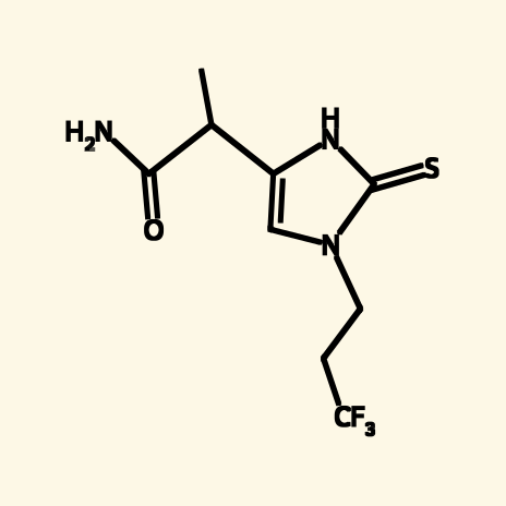 CC(C(N)=O)c1cn(CCC(F)(F)F)c(=S)[nH]1